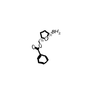 B[C@H]1CC[C@@H](COC(=O)c2ccccc2)O1